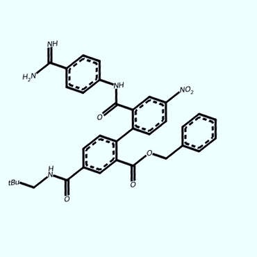 CC(C)(C)CNC(=O)c1ccc(-c2ccc([N+](=O)[O-])cc2C(=O)Nc2ccc(C(=N)N)cc2)c(C(=O)OCc2ccccc2)c1